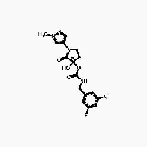 Cn1cc(N2CC[C@](O)(OC(=O)NCc3cc(F)cc(Cl)c3)C2=O)cn1